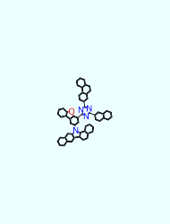 c1ccc2cc(-c3nc(-c4ccc5c(ccc6ccccc65)c4)nc(-c4cc(-n5c6cc7ccccc7cc6c6ccc7ccccc7c65)cc5c4oc4ccccc45)n3)ccc2c1